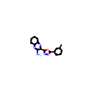 Cc1cccc(-c2nnc(-c3nc4ccccc4nc3N)o2)c1